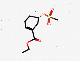 CCOC(=O)C1=CCC[C@H](OS(C)(=O)=O)C1